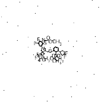 CCOC(=O)c1nc2c(F)c(F)cc(N3CC(COCc4cccc(C5CCC(F)(F)CC5)c4C(=O)OC(C)(C)C)C4(CN(C(=O)C5(C(F)(F)F)CC5)C4)C3)c2s1